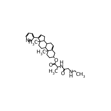 CCNCC(=O)NC(C)C(=O)OC1CCC2(C)C(=CCC3C2CCC2(C)C(c4cccnc4)=CCC32)C1